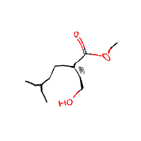 COC(=O)[C@@H](CO)CC(C)C